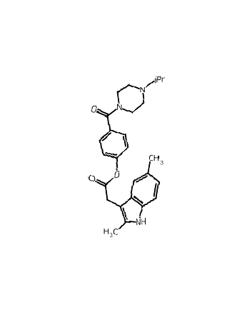 Cc1ccc2[nH]c(C)c(CC(=O)Oc3ccc(C(=O)N4CCN(C(C)C)CC4)cc3)c2c1